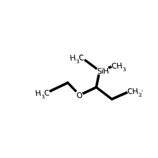 [CH2]CC(OCC)[SiH](C)C